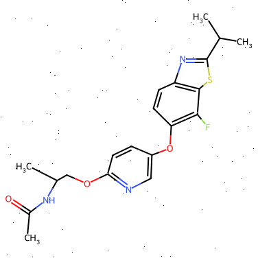 CC(=O)NC(C)COc1ccc(Oc2ccc3nc(C(C)C)sc3c2F)cn1